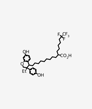 CCC1(c2ccc(O)cc2)COc2cc(O)ccc2C1CCCCCCCCCC(CCCCCC(F)(F)C(F)(F)F)C(=O)O